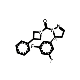 O=C(N1CC(c2ccccc2)C1)N1N=CC[C@H]1c1cc(F)cc(F)c1